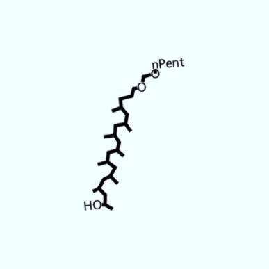 CCCCCOCOCCCC(C)CC(C)CC(C)CC(C)CC(C)CC(C)CC(C)CC(C)O